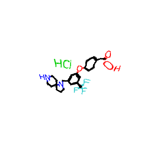 Cl.O=C(O)C1CCC(Oc2cc(CN3CCCC34CCNCC4)cc(C(F)(F)F)c2)CC1